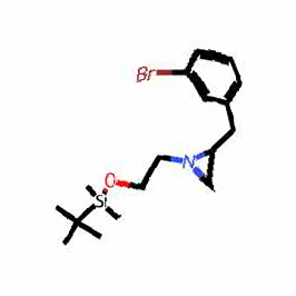 CC(C)(C)[Si](C)(C)OCCN1CC1Cc1cccc(Br)c1